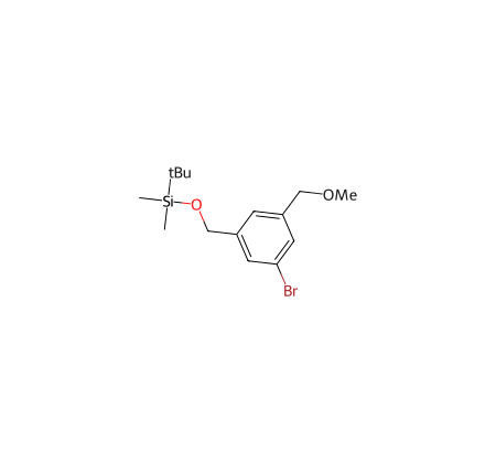 COCc1cc(Br)cc(CO[Si](C)(C)C(C)(C)C)c1